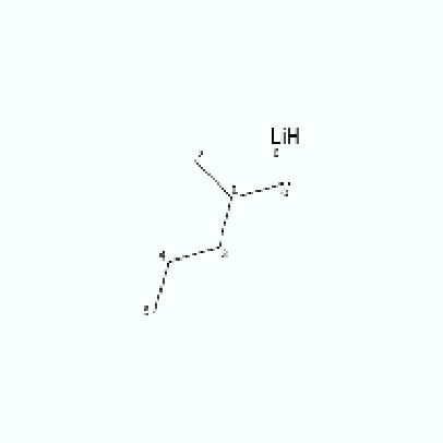 [CH2]C(C)CCC.[LiH]